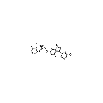 COc1cncc(-c2nn(C)c3nc(OCC(=O)NC(C)c4ccccc4C)cc(C)c23)n1